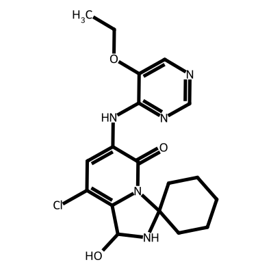 CCOc1cncnc1Nc1cc(Cl)c2n(c1=O)C1(CCCCC1)NC2O